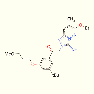 CCOc1nn2c(=N)n(CC(=O)c3cc(OCCCOC)cc(C(C)(C)C)c3)nc2cc1C